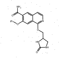 CC(C)Oc1cc2c(OCC3CNC(=O)N3)nccc2cc1C(N)=O